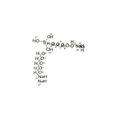 O.O.O.O.O.O.O.O.O.O.OB(O)O.[NaH].[NaH].[NaH].[NaH]